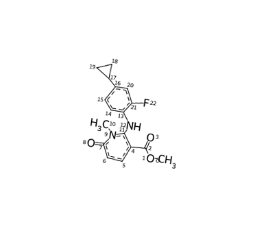 COC(=O)c1ccc(=O)n(C)c1Nc1ccc(C2CC2)cc1F